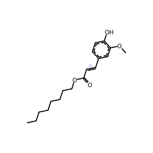 CCCCCCCCOC(=O)/C=C/c1ccc(O)c(OC)c1